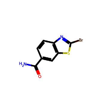 NC(=O)c1ccc2nc(Br)sc2c1